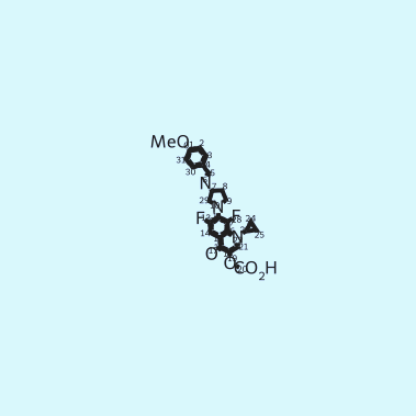 COc1ccc(C=NC2CCN(c3c(F)cc4c(=O)c(OC(=O)O)cn(C5CC5)c4c3F)C2)cc1